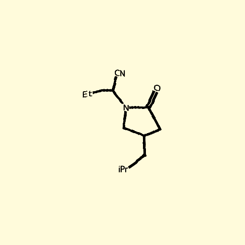 CCC(C#N)N1CC(CC(C)C)CC1=O